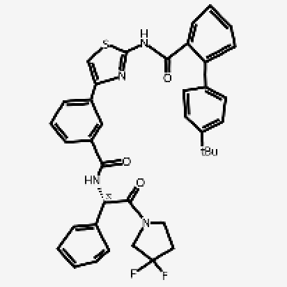 CC(C)(C)c1ccc(-c2ccccc2C(=O)Nc2nc(-c3cccc(C(=O)N[C@H](C(=O)N4CCC(F)(F)C4)c4ccccc4)c3)cs2)cc1